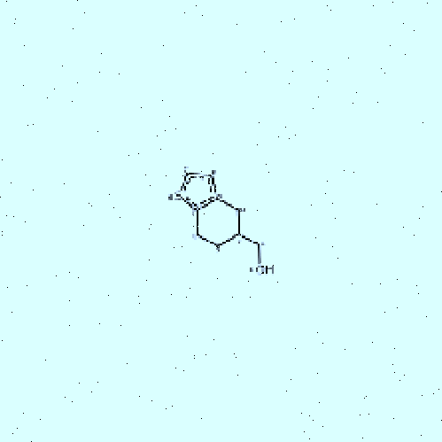 OCC1CCc2sccc2C1